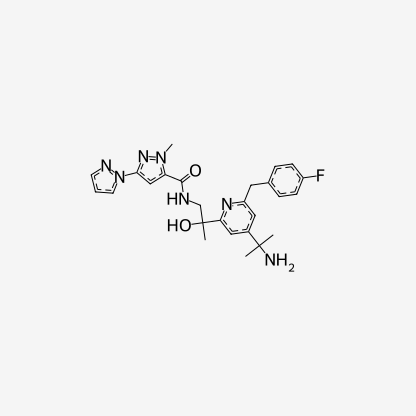 Cn1nc(-n2cccn2)cc1C(=O)NCC(C)(O)c1cc(C(C)(C)N)cc(Cc2ccc(F)cc2)n1